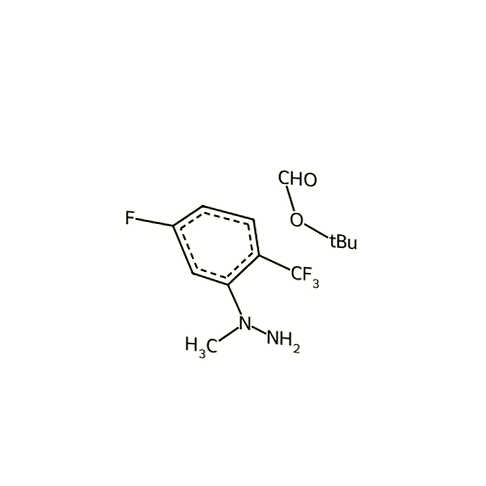 CC(C)(C)OC=O.CN(N)c1cc(F)ccc1C(F)(F)F